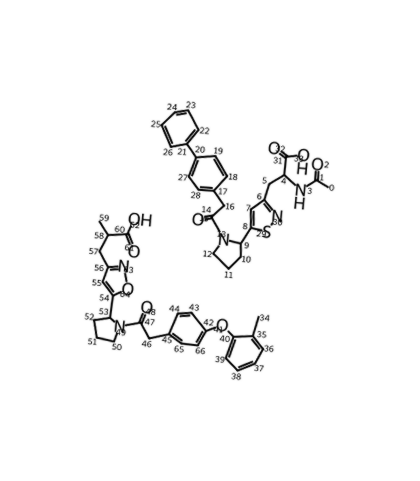 CC(=O)NC(Cc1cc(C2CCCN2C(=O)Cc2ccc(-c3ccccc3)cc2)sn1)C(=O)O.Cc1ccccc1Oc1ccc(CC(=O)N2CCCC2c2cc(CC(C)C(=O)O)no2)cc1